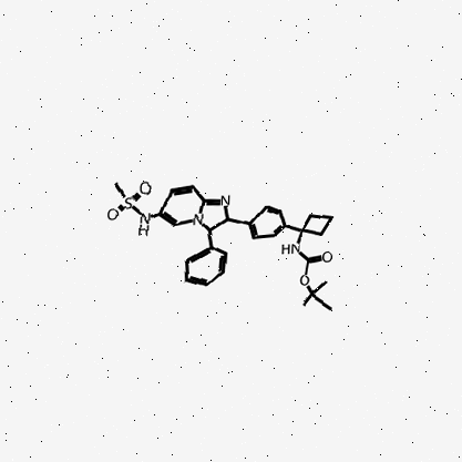 CC(C)(C)OC(=O)NC1(c2ccc(C3N=C4C=CC(NS(C)(=O)=O)=CN4C3c3ccccc3)cc2)CCC1